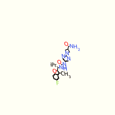 Cc1c([C@H](NC(=O)Nc2cnc(N3CC(C(N)=O)C3)nc2)C(C)C)oc2ccc(F)cc12